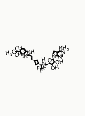 CC(C)(C)c1ccc2[nH]c(CC[C@H]3C[C@H](C(NC[C@H]4O[C@@H](n5ccc6c(N)ncnc65)[C@@H](O)[C@H]4O)C(F)(F)F)C3)nc2c1